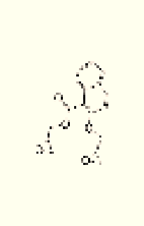 O=C(OCC1CO1)c1c(OCC2CO2)ccc2ccccc12